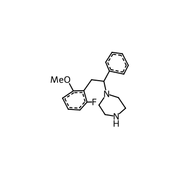 COc1cccc(F)c1CC(c1ccccc1)N1CCNCC1